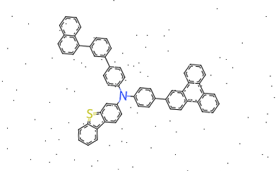 c1cc(-c2ccc(N(c3ccc(-c4ccc5c6ccccc6c6ccccc6c5c4)cc3)c3ccc4c(c3)sc3ccccc34)cc2)cc(-c2cccc3ccccc23)c1